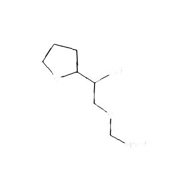 CCCCCCOCC(O)C1CCCO1